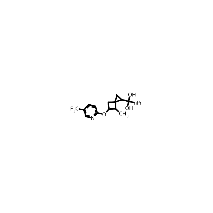 CCCC(O)(O)C1CC12CC(Oc1ccc(C(F)(F)F)cn1)C2C